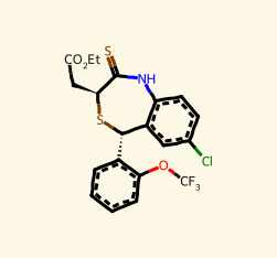 CCOC(=O)C[C@@H]1S[C@@H](c2ccccc2OC(F)(F)F)c2cc(Cl)ccc2NC1=S